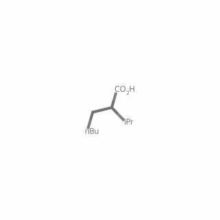 CCCCCC(C(=O)O)C(C)C